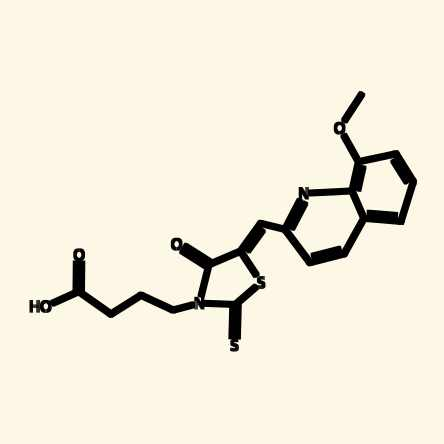 COc1cccc2ccc(/C=C3\SC(=S)N(CCCC(=O)O)C3=O)nc12